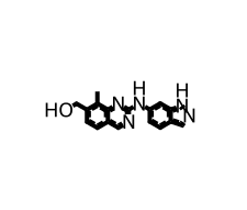 Cc1c(CO)ccc2cnc(Nc3ccc4cn[nH]c4c3)nc12